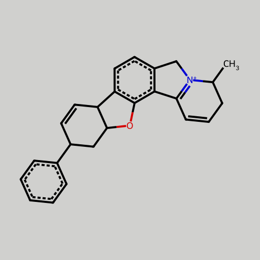 CC1CC=CC2=[N+]1Cc1ccc3c(c12)OC1CC(c2ccccc2)C=CC31